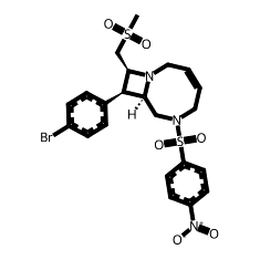 CS(=O)(=O)C[C@@H]1[C@H](c2ccc(Br)cc2)[C@@H]2CN(S(=O)(=O)c3ccc([N+](=O)[O-])cc3)C/C=C\CN12